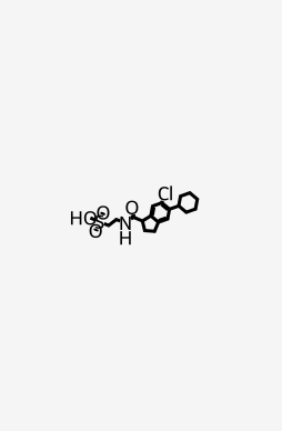 O=C(NCCS(=O)(=O)O)C1CCc2cc(C3CCCCC3)c(Cl)cc21